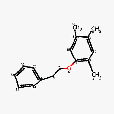 Cc1cc(C)c(OCCc2ccccc2)cc1C